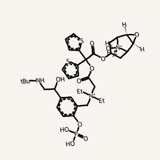 CC[N+](CC)(CC(=O)OC(C(=O)OC1CC2[C@H]3O[C@H]3C(C1)[N+]2(C)C)(c1cccs1)c1cccs1)Cc1cc(C(O)CNC(C)(C)C)ccc1OP(=O)(O)O